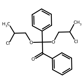 CC(Cl)COC(OCC(C)Cl)(C(=O)c1ccccc1)c1ccccc1